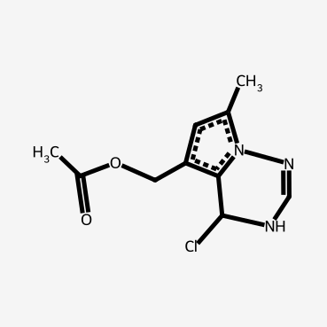 CC(=O)OCc1cc(C)n2c1C(Cl)NC=N2